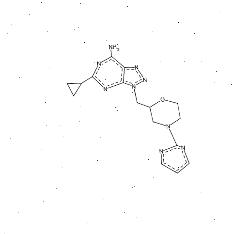 Nc1nc(C2CC2)nc2c1nnn2CC1CN(c2ncccn2)CCO1